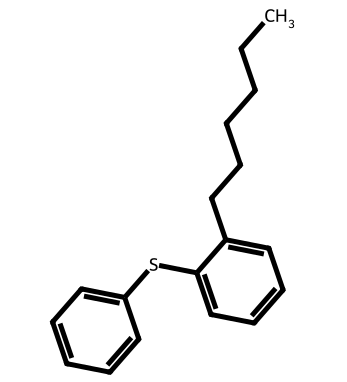 CCCCCCc1ccccc1Sc1ccccc1